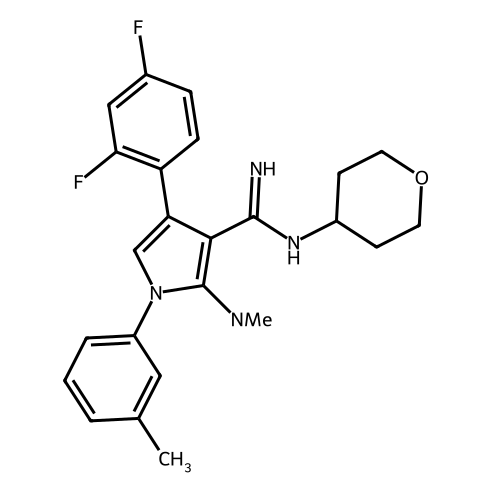 CNc1c(C(=N)NC2CCOCC2)c(-c2ccc(F)cc2F)cn1-c1cccc(C)c1